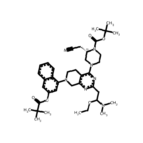 CCOC(Cc1nc2c(c(N3CCN(C(=O)OC(C)(C)C)[C@@H](CC#N)C3)n1)CCN(c1cc(OC(=O)C(C)(C)C)cc3ccccc13)C2)N(C)C